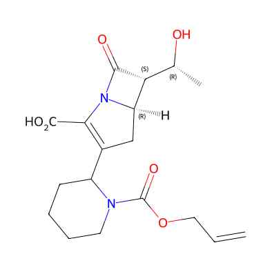 C=CCOC(=O)N1CCCCC1C1=C(C(=O)O)N2C(=O)[C@H]([C@@H](C)O)[C@H]2C1